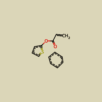 C=CC(=O)Oc1cccs1.c1ccccc1